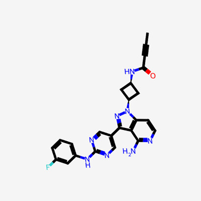 CC#CC(=O)N[C@H]1C[C@@H](n2nc(-c3cnc(Nc4cccc(F)c4)nc3)c3c(N)nccc32)C1